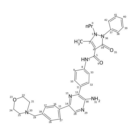 CCCn1c(C)c(C(=O)Nc2ccc(-c3nc(-c4ccc(CN5CCOCC5)cc4)cnc3N)cc2)c(=O)n1-c1ccccc1